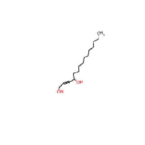 CCCCCCCCCCCC(O)C#CCO